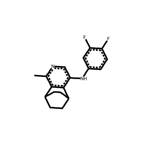 Cc1ncc(Nc2ccc(F)c(F)c2)c2c1C1CCC2CC1